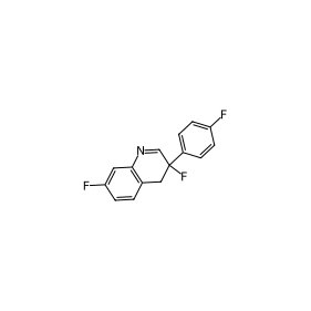 Fc1ccc(C2(F)C=Nc3cc(F)ccc3C2)cc1